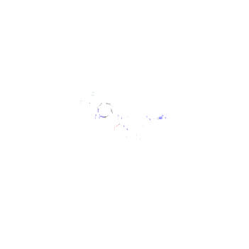 CN(C(=O)Nc1ccc(C(F)(F)F)nc1)C1CCN(C#N)C1